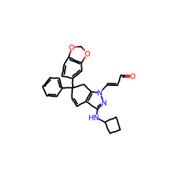 O=CC=Cn1nc(NC2CCC2)c2c1CC(c1ccccc1)(c1ccc3c(c1)OCO3)C=C2